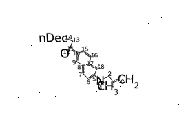 C=CCN(C)c1ccc2cc(C(=O)CCCCCCCCCCC)ccc2c1